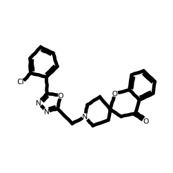 O=C1CC2(CCN(Cc3nnc(-c4ccccc4Cl)o3)CC2)Oc2ccccc21